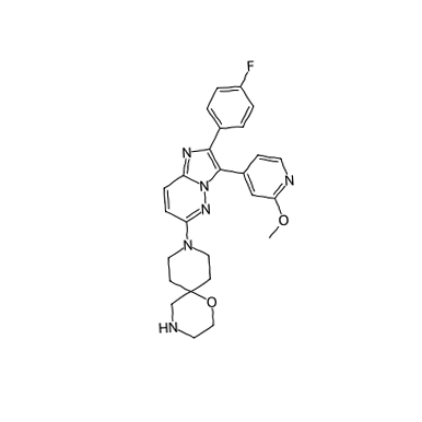 COc1cc(-c2c(-c3ccc(F)cc3)nc3ccc(N4CCC5(CC4)CNCCO5)nn23)ccn1